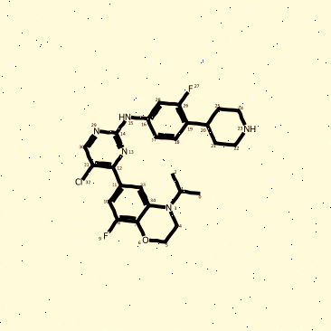 CC(C)N1CCOc2c(F)cc(-c3nc(Nc4ccc(C5CCNCC5)c(F)c4)ncc3Cl)cc21